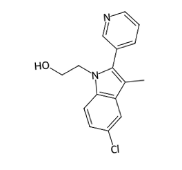 Cc1c(-c2cccnc2)n(CCO)c2ccc(Cl)cc12